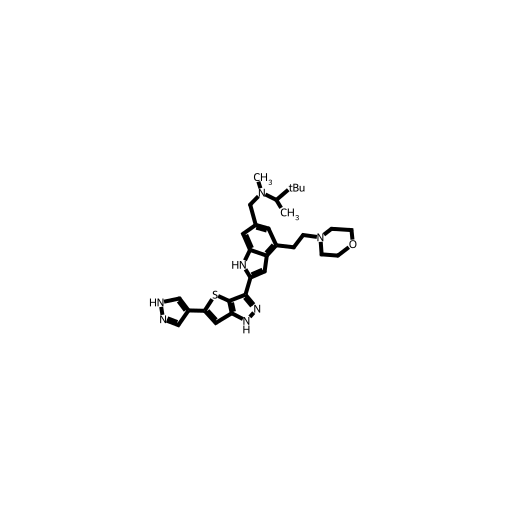 CC(N(C)Cc1cc(CCN2CCOCC2)c2cc(-c3n[nH]c4cc(-c5cn[nH]c5)sc34)[nH]c2c1)C(C)(C)C